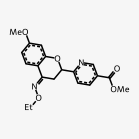 CCON=C1CC(c2ccc(C(=O)OC)cn2)Oc2cc(OC)ccc21